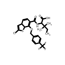 CCC(C)(C)C(NC(=O)C1=C(OCc2ccc(C(F)(F)F)cc2)C2SC(Cl)=CC2C=C1)C(=O)O